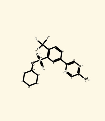 Nc1cnc(-c2ccc(C(F)(F)F)c(S(=O)(=O)NC3CCCCC3)c2)cn1